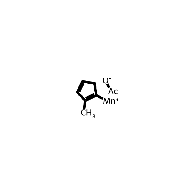 CC(=O)[O-].CC1=[C]([Mn+])CC=C1